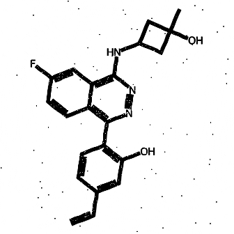 C=Cc1ccc(-c2nnc(NC3CC(C)(O)C3)c3cc(F)ccc23)c(O)c1